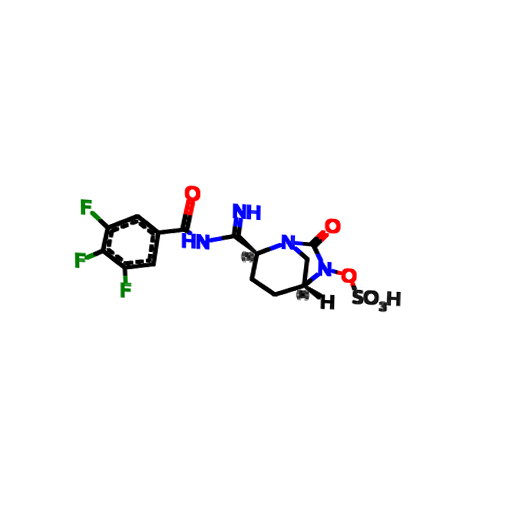 N=C(NC(=O)c1cc(F)c(F)c(F)c1)[C@@H]1CC[C@@H]2CN1C(=O)N2OS(=O)(=O)O